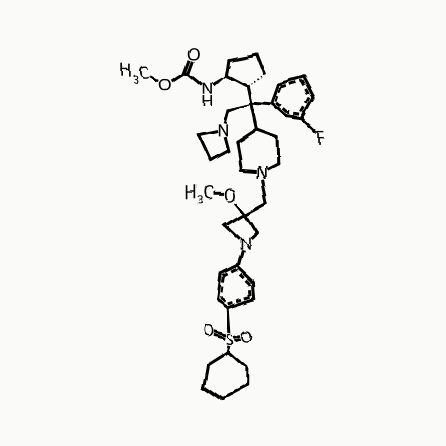 COC(=O)N[C@H]1CCC[C@@H]1[C@](CN1CCC1)(c1cccc(F)c1)C1CCN(CC2(OC)CN(c3ccc(S(=O)(=O)C4CCCCC4)cc3)C2)CC1